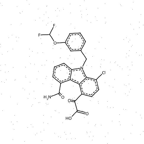 NC(=O)c1cccc2c1c1c(C(=O)C(=O)O)ccc(Cl)c1n2Cc1cccc(OC(F)F)c1